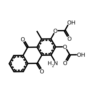 Cc1c(OC(=O)O)c(OC(=O)O)c(N)c2c1C(=O)c1ccccc1C2=O